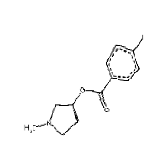 CN1CCC(OC(=O)c2ccc(I)cc2)C1